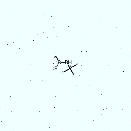 CB(F)BC(C)(C)C